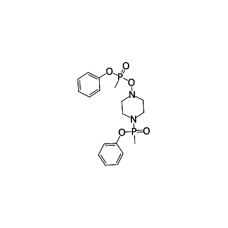 CP(=O)(Oc1ccccc1)ON1CCN(P(C)(=O)Oc2ccccc2)CC1